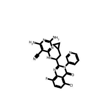 N#Cc1c(N)nc(N)nc1NC(CC1CC1)c1nc2c(F)ccc(Cl)c2c(=O)n1-c1cccnc1